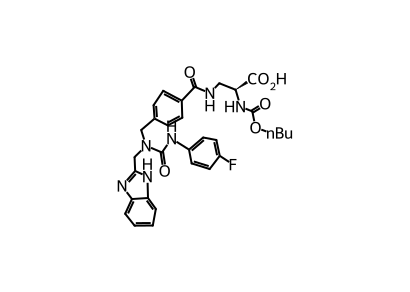 CCCCOC(=O)N[C@@H](CNC(=O)c1ccc(CN(Cc2nc3ccccc3[nH]2)C(=O)Nc2ccc(F)cc2)cc1)C(=O)O